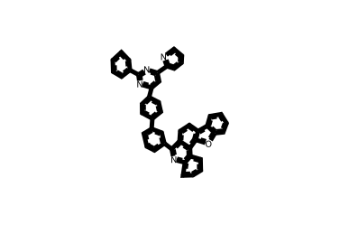 c1ccc(-c2nc(-c3ccc(-c4cccc(-c5nc6ccccc6c6c5ccc5c7ccccc7oc56)c4)cc3)cc(-c3ccccn3)n2)cc1